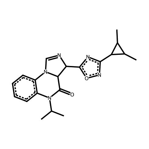 CC1C(C)C1c1noc(C2N=CN3c4ccccc4N(C(C)C)C(=O)C23)n1